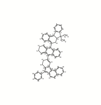 CC1(C)c2ccccc2C2=c3ccccc3=C(c3c4c(c(C5=Cc6c(n(-c7ccccc7)c7ccc8ccccc8c67)CC5)c5ccccc35)=CCCC=4)CC21